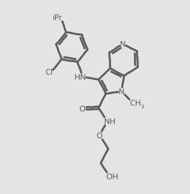 CC(C)c1ccc(Nc2c(C(=O)NOCCO)n(C)c3ccncc23)c(Cl)c1